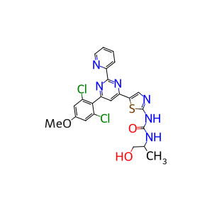 COc1cc(Cl)c(-c2cc(-c3cnc(NC(=O)NC(C)CO)s3)nc(-c3ccccn3)n2)c(Cl)c1